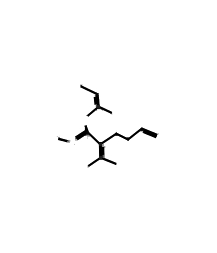 C=CCCC(=C(C)C)/C(=N/C)S/C(C)=C\C